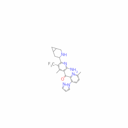 Cc1ccc(-n2cccn2)c(C(=O)c2c(N)nc(C3CC4CC4CN3)c(C(F)(F)F)c2C)n1